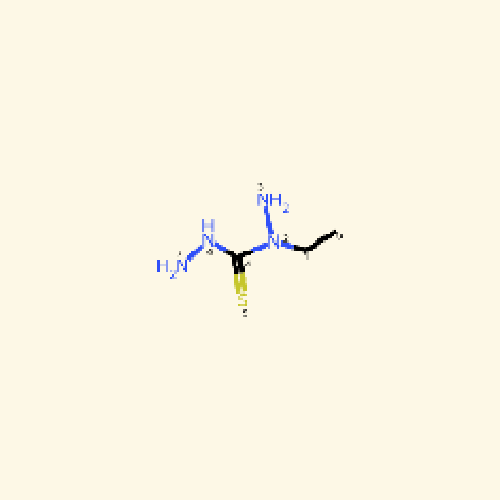 CCN(N)C(=S)NN